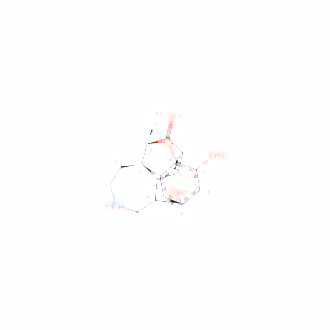 O=C1C=C[C@@]2(O)[C@@H]3CNCC[C@@]24c2c(ccc(O)c2O[C@@H]14)C3